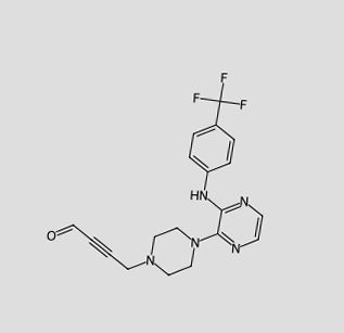 O=CC#CCN1CCN(c2nccnc2Nc2ccc(C(F)(F)F)cc2)CC1